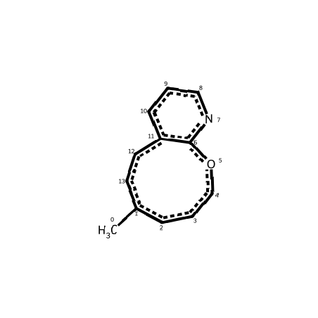 Cc1cccoc2ncccc2cc1